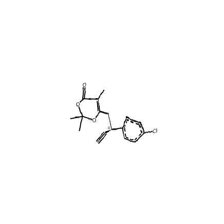 C#C[C@@H](CC1=C(C)C(=O)OC(C)(C)O1)c1ccc(Cl)cc1